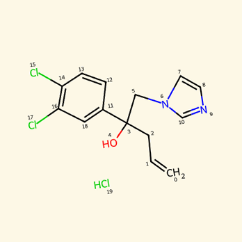 C=CCC(O)(Cn1ccnc1)c1ccc(Cl)c(Cl)c1.Cl